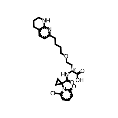 O=C(O)[C@H](CCOCCCCc1ccc2c(n1)NCCC2)NC(=O)C1(n2c(Cl)cccc2=O)CC1